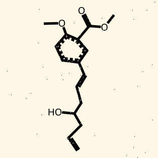 C=CCC(O)C/C=C/c1ccc(OC)c(C(=O)OC)c1